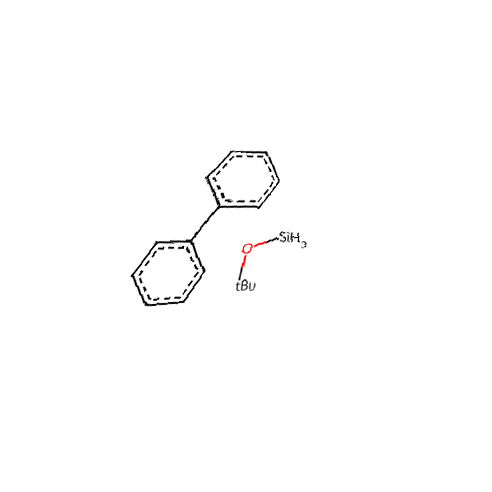 CC(C)(C)O[SiH3].c1ccc(-c2ccccc2)cc1